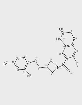 O=C1COc2cc(F)c(C(=O)N3CC(COc4ccc(Br)cc4F)C3)cc2N1